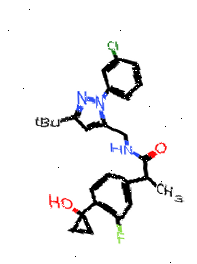 CC(C(=O)NCc1cc(C(C)(C)C)nn1-c1cccc(Cl)c1)c1ccc(C2(O)CC2)c(F)c1